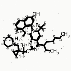 [2H]C([2H])(Oc1nc(C(CC)CCCCC)c2c(n1)=CN(c1cc(O)cc3ccc(F)c(CC)c13)C(C(F)(F)F)C=2)C1(CN2CCOCC2)CC1